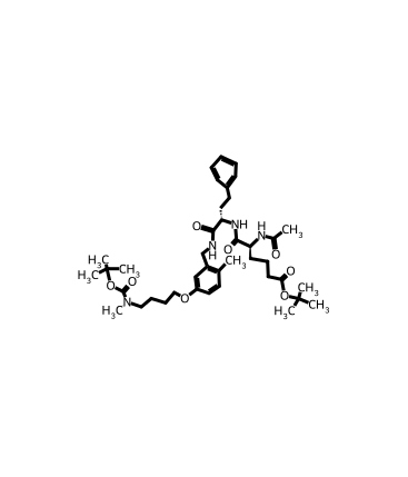 CC(=O)N[C@@H](CCCC(=O)OC(C)(C)C)C(=O)N[C@@H](CCc1ccccc1)C(=O)NCc1cc(OCCCCN(C)C(=O)OC(C)(C)C)ccc1C